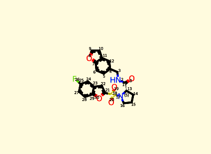 O=C(NCc1ccc2occc2c1)[C@@H]1CCCN1S(=O)(=O)c1cc2cc(F)ccc2o1